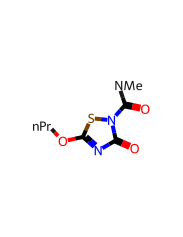 CCCOc1nc(=O)n(C(=O)NC)s1